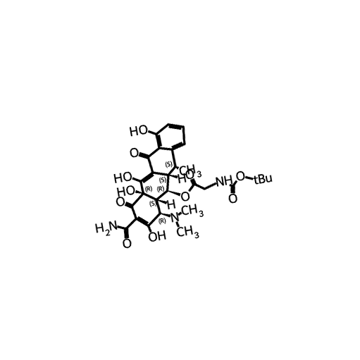 C[C@@H]1c2cccc(O)c2C(=O)C2=C(O)[C@@]3(O)C(=O)C(C(N)=O)=C(O)[C@H](N(C)C)[C@H]3[C@H](OC(=O)CNC(=O)OC(C)(C)C)[C@H]21